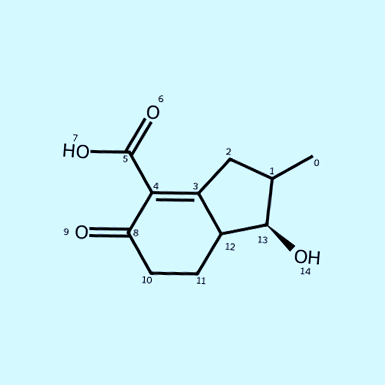 CC1CC2=C(C(=O)O)C(=O)CCC2[C@@H]1O